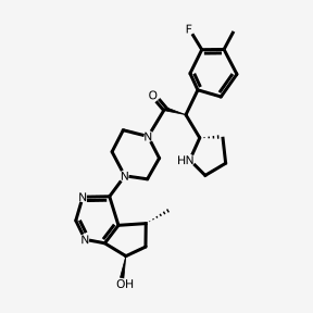 Cc1ccc([C@H](C(=O)N2CCN(c3ncnc4c3[C@H](C)C[C@H]4O)CC2)[C@@H]2CCCN2)cc1F